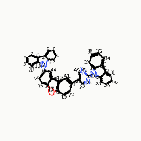 c1ccc2c(c1)c1ccccc1n2-c1ccc2oc3ccc(-c4cnc(-n5c6ccccc6c6ccccc65)nc4)cc3c2c1